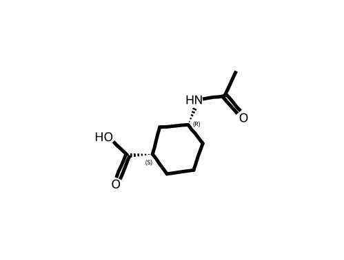 CC(=O)N[C@@H]1CCC[C@H](C(=O)O)C1